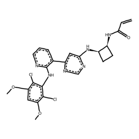 C=CC(=O)N[C@H]1CC[C@H]1Nc1cc(-c2cccnc2Nc2c(Cl)c(OC)cc(OC)c2Cl)ncn1